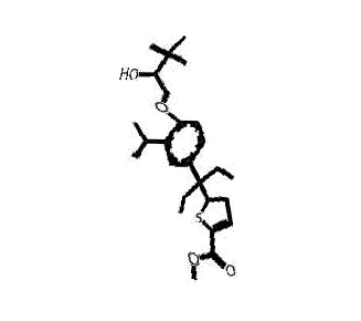 CCC(CC)(c1ccc(OCC(O)C(C)(C)C)c(C(C)C)c1)C1CC=C(C(=O)OC)S1